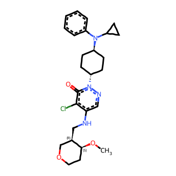 CO[C@H]1CCOC[C@H]1CNc1cnn([C@H]2CC[C@H](N(c3ccccc3)C3CC3)CC2)c(=O)c1Cl